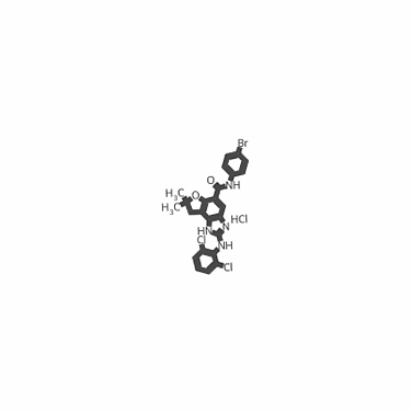 CC1(C)Cc2c(c(C(=O)Nc3ccc(Br)cc3)cc3nc(Nc4c(Cl)cccc4Cl)[nH]c23)O1.Cl